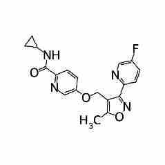 Cc1onc(-c2ccc(F)cn2)c1COc1ccc(C(=O)NC2CC2)nc1